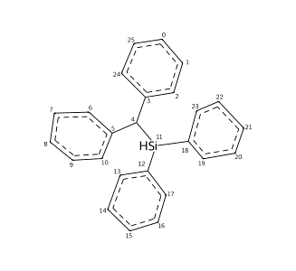 c1ccc(C(c2ccccc2)[SiH](c2ccccc2)c2ccccc2)cc1